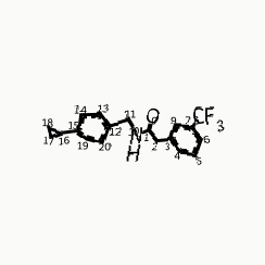 O=C(Cc1cccc(C(F)(F)F)c1)NCc1ccc(C2CC2)cc1